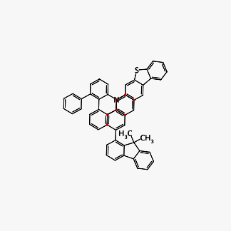 CC1(C)c2ccccc2-c2cccc(-c3ccc(N(c4ccc5c(c4)sc4ccccc45)c4cccc(-c5ccccc5)c4-c4ccccc4-c4ccccc4)cc3)c21